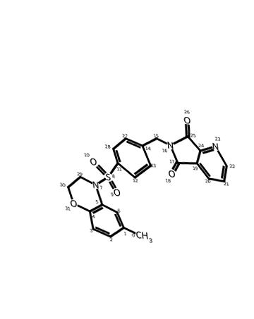 Cc1ccc2c(c1)N(S(=O)(=O)c1ccc(CN3C(=O)c4cccnc4C3=O)cc1)CCO2